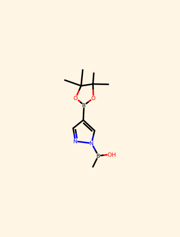 CB(O)n1cc(B2OC(C)(C)C(C)(C)O2)cn1